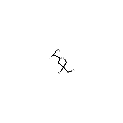 CCC(CO)(CO)CCN(C)C